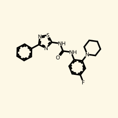 O=C(Nc1nc(-c2ccccc2)ns1)Nc1ccc(F)cc1N1CCCCC1